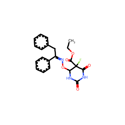 CCOC(=O)C1(F)C(=O)NC(=O)NC1ON=C(Cc1ccccc1)c1ccccc1